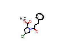 COC(=O)[C@@H]1C[C@H](Cl)CN1C(=O)CCc1ccccc1